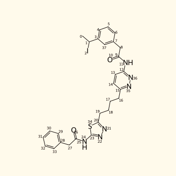 CC(I)c1cccc(CC(=O)Nc2ccc(CCCCc3nnc(NC(=O)Cc4ccccc4)s3)nn2)c1